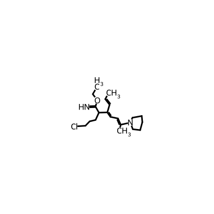 C/C=C/C(=C\C=C(/C)N1CCCCC1)C(CCCCl)C(=N)OCC